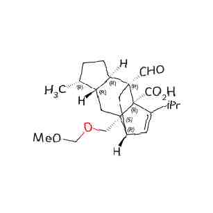 COCOC[C@@]12C[C@@H]3[C@H](C)CC[C@H]3[C@]3(C=O)C[C@@H]1C=C(C(C)C)[C@@]23C(=O)O